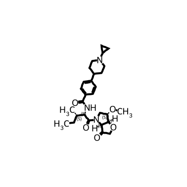 CC[C@H](C)[C@H](NC(=O)c1ccc(C2CCN(C3CC3)CC2)cc1)C(=O)N1C[C@H](OC)[C@H]2OCC(=O)[C@H]21